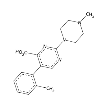 Cc1ccccc1-c1cnc(N2CCN(C)CC2)nc1C(=O)O